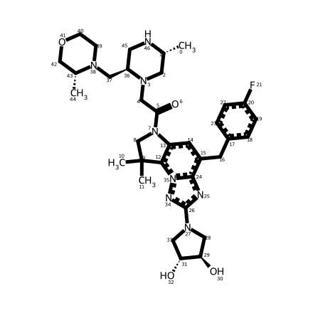 C[C@@H]1CN(CC(=O)N2CC(C)(C)c3c2cc(Cc2ccc(F)cc2)c2nc(N4C[C@@H](O)[C@H](O)C4)nn32)[C@@H](CN2CCOC[C@H]2C)CN1